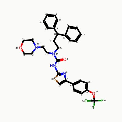 O=C(Nc1nc(-c2ccc(OC(F)(F)F)cc2)cs1)N(CCC(c1ccccc1)c1ccccc1)CCN1CCOCC1